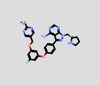 Cc1ncc(COc2cc(F)cc(Oc3ccc(-c4nn(C[C@H]5CCCN5)c5ncnc(N)c45)cc3)c2)cn1